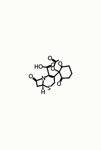 CC(=O)OC1(C2=C(C(=O)O)N3C(=O)C[C@H]3SC2)C(=O)CCCC1=O